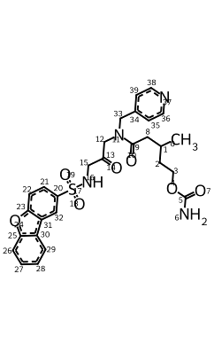 CC(CCOC(N)=O)CC(=O)N(CC(=O)CNS(=O)(=O)c1ccc2oc3ccccc3c2c1)Cc1ccncc1